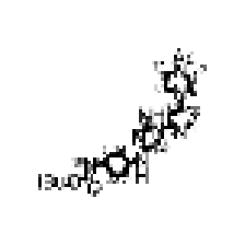 CC(=O)N1[C@H](C)CN(c2cc(-n3nc(Nc4ccc(N(C)C(=O)OCC(C)C)cc4)nc3N)ncn2)C[C@@H]1C